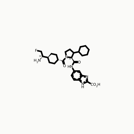 N[C@H](CF)[C@H]1CC[C@H](C(=O)N2CCC(C3CCCCC3)[C@H]2C(=O)Nc2ccc3[nH]c(C(=O)O)nc3c2)CC1